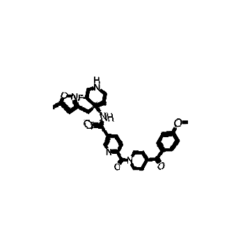 COc1ccc(C(=O)C2CCN(C(=O)c3ccc(C(=O)N[C@@]4(Cc5cc(C)on5)CCNC[C@@H]4F)cn3)CC2)cc1